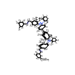 CCc1cccc(C)c1N(c1ccc(/C=C/c2cccc(C)c2)cc1)c1ccc(-c2ccc(N(c3ccc(/C=C/c4cccc(OC)c4)cc3)c3c(C)cccc3CC)cc2)cc1